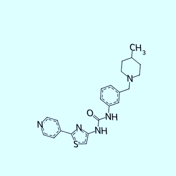 CC1CCN(Cc2cccc(NC(=O)Nc3csc(-c4ccncc4)n3)c2)CC1